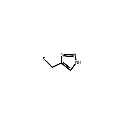 [S]Cc1c[nH]nn1